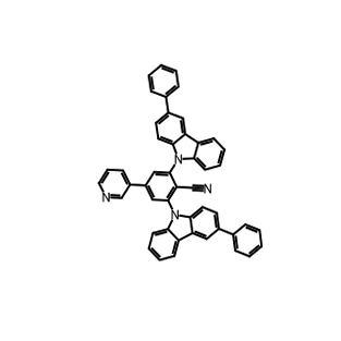 N#Cc1c(-n2c3ccccc3c3cc(-c4ccccc4)ccc32)cc(-c2cccnc2)cc1-n1c2ccccc2c2cc(-c3ccccc3)ccc21